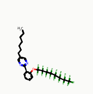 CCCCCCCc1cnc(-c2ccccc2OC(F)(F)C(F)(F)C(F)(F)C(F)(F)C(F)(F)C(F)(F)C(F)(F)C(F)(F)F)nc1